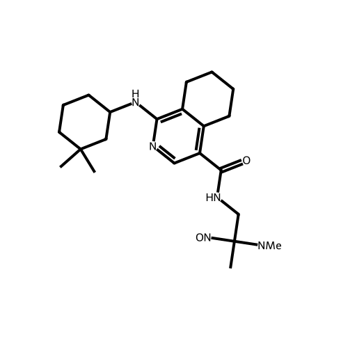 CNC(C)(CNC(=O)c1cnc(NC2CCCC(C)(C)C2)c2c1CCCC2)N=O